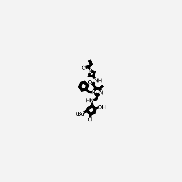 C=CC(=O)N1CC(NC(=O)c2c(C)nc(CNc3cc(C(C)(C)C)c(Cl)cc3O)n2Cc2ccccc2)C1